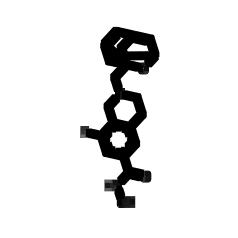 O=C(NO)c1cc(F)c2c(c1)CCN(CC13CC4=CC(CC(=C4)C1)O3)C2